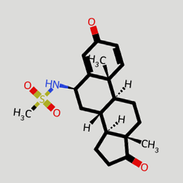 C[C@]12C=CC(=O)C=C1[C@H](NS(C)(=O)=O)C[C@@H]1[C@@H]2CC[C@]2(C)C(=O)CC[C@@H]12